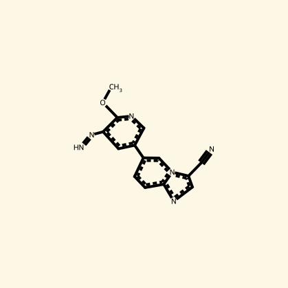 COc1ncc(-c2ccc3ncc(C#N)n3c2)cc1N=N